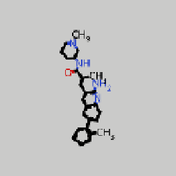 Cc1ccccc1-c1ccc2nc(N)c(CC(C)C(=O)NC3CCCN(C)C3)cc2c1